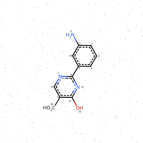 Nc1cccc(-c2ncc(C(=O)O)c(O)n2)c1